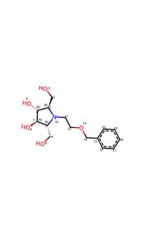 OC[C@@H]1[C@@H](O)[C@H](O)[C@@H](CO)N1CCOCc1ccccc1